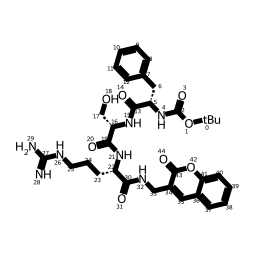 CC(C)(C)OC(=O)N[C@@H](Cc1ccccc1)C(=O)N[C@@H](CO)C(=O)N[C@@H](CCCNC(=N)N)C(=O)NCc1cc2ccccc2oc1=O